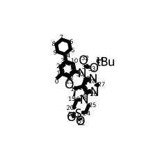 Cc1cc(C2CCCCC2)cc2c1O[C@H](C)c1c(N3CCS(=O)(=O)CC3)ncnc1N2C(=O)OC(C)(C)C